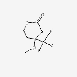 COC1(C(F)(F)F)CCOC(=O)C1